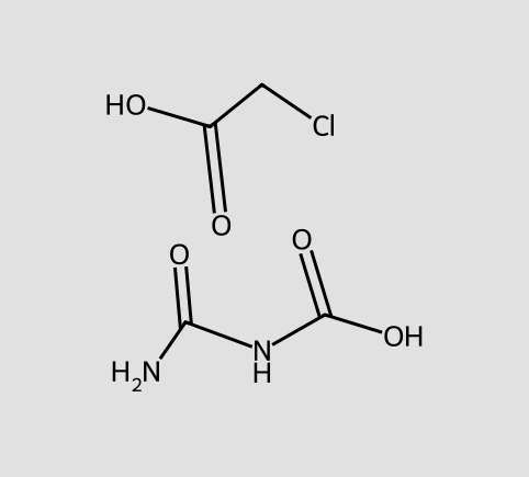 NC(=O)NC(=O)O.O=C(O)CCl